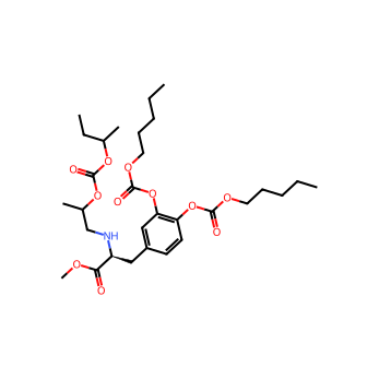 CCCCCOC(=O)Oc1ccc(C[C@H](NCC(C)OC(=O)OC(C)CC)C(=O)OC)cc1OC(=O)OCCCCC